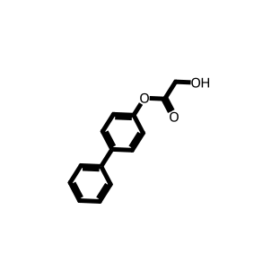 O=C(CO)Oc1ccc(-c2ccccc2)cc1